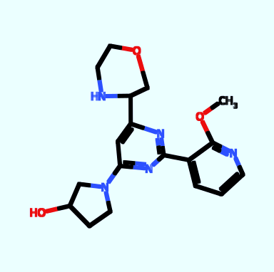 COc1ncccc1-c1nc(C2COCCN2)cc(N2CCC(O)C2)n1